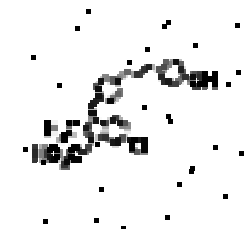 CC1=C(CC(=O)O)c2cc(Cl)ccc2/C1=C\c1ccc(CCCc2ccc(O)cc2)cc1